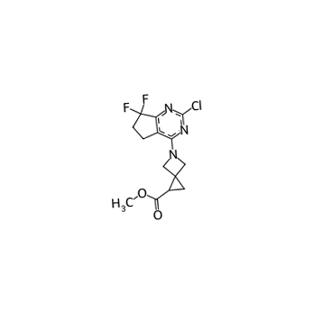 COC(=O)C1CC12CN(c1nc(Cl)nc3c1CCC3(F)F)C2